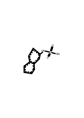 CCCCS(=O)(=O)Nc1ccc2ccccc2c1